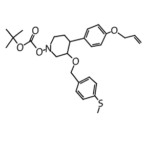 C=CCOc1ccc(C2CCN(OC(=O)OC(C)(C)C)CC2OCc2ccc(SC)cc2)cc1